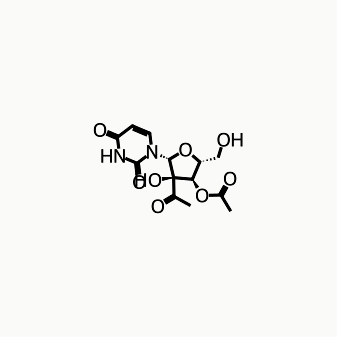 CC(=O)O[C@@H]1[C@@H](CO)O[C@@H](n2ccc(=O)[nH]c2=O)[C@@]1(O)C(C)=O